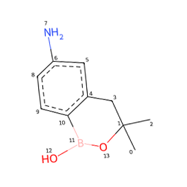 CC1(C)Cc2cc(N)ccc2B(O)O1